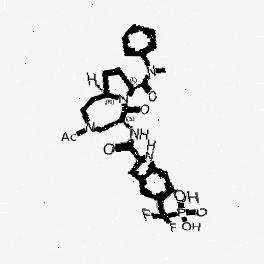 CC(=O)N1CC[C@H]2CC[C@@H](C(=O)N(C)c3ccccc3)N2C(=O)[C@@H](NC(=O)c2cc3cc(C(F)(F)P(=O)(O)O)ccc3[nH]2)C1